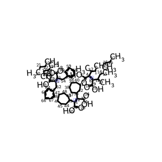 CCC(C)/C(C(=O)O)=C(/C(=O)O)C(C)CC.CCCC.CCCC.CCCC.O=C(O)/C(=C(\C(=O)O)C1CCCCCC1)C1CCCCCC1.O=C(O)/C(Cc1ccccc1)=C(/Cc1ccccc1)C(=O)O